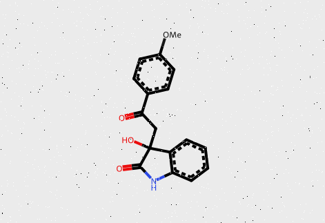 COc1ccc(C(=O)CC2(O)C(=O)Nc3ccccc32)cc1